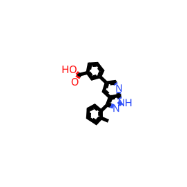 Cc1ccccc1-c1n[nH]c2ncc(-c3cccc(C(=O)O)c3)cc12